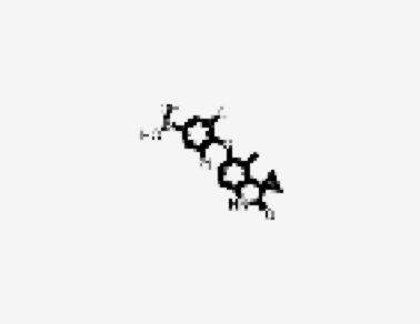 Cc1c(Oc2c(Cl)cc(B(O)O)cc2Cl)ccc2c1C1(CC1)C(=O)N2